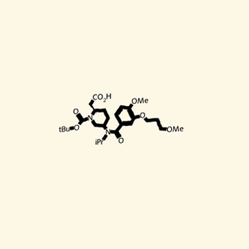 COCCCOc1cc(C(=O)N(C(C)C)C2CC[C@H](CC(=O)O)N(C(=O)OC(C)(C)C)C2)ccc1OC